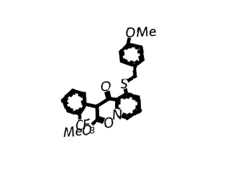 COC(=O)C(C(=O)c1ncccc1SCc1ccc(OC)cc1)c1ccccc1C(F)(F)F